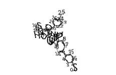 CSc1ccc(-c2ccc(S(=O)(=O)N[C@@H](C(=O)O)[C@H](OCc3ccc(C)cc3)c3nccs3)cc2)cc1